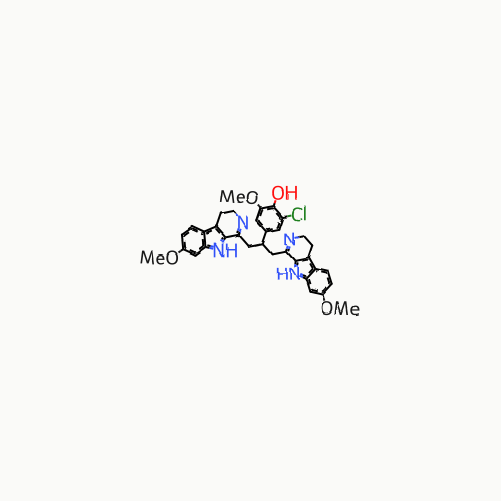 COc1ccc2c3c([nH]c2c1)C(CC(CC1=NCCc2c1[nH]c1cc(OC)ccc21)c1cc(Cl)c(O)c(OC)c1)=NCC3